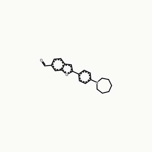 O=Cc1ccc2cc(-c3ccc(N4CCCCCC4)cc3)oc2c1